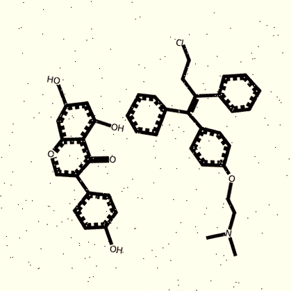 CN(C)CCOc1ccc(/C(=C(/CCCl)c2ccccc2)c2ccccc2)cc1.O=c1c(-c2ccc(O)cc2)coc2cc(O)cc(O)c12